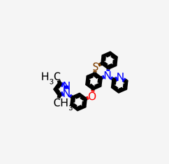 Cc1cc(C)n(-c2cccc(Oc3ccc4c(c3)N(c3ccccn3)c3ccccc3S4)c2)n1